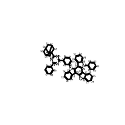 c1ccc(-c2nc(-c3cccc(-n4c5ccccc5c5c6oc7ccccc7c6c6c(c7ccccc7n6-c6ccccc6)c54)c3)nc(C34CC5CC(CC(C5)C3)C4)n2)cc1